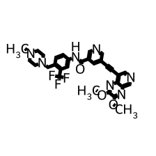 COc1nc2cncc(C#Cc3cncc(C(=O)Nc4ccc(CN5CCN(C)CC5)c(C(F)(F)F)c4)c3)c2nc1OC